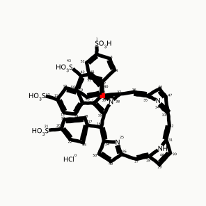 Cl.O=S(=O)(O)c1ccc(-c2c(-c3ccc(S(=O)(=O)O)cc3)c3c(-c4ccc(S(=O)(=O)O)cc4)c4nc(cc5ccc(cc6nc(cc2n3-c2ccc(S(=O)(=O)O)cc2)C=C6)[nH]5)C=C4)cc1